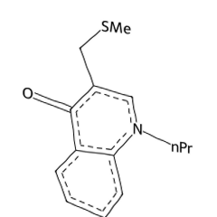 CCCn1cc(CSC)c(=O)c2ccccc21